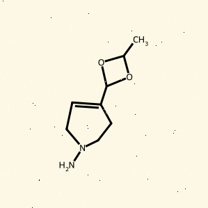 CC1OC(C2=CCN(N)CC2)O1